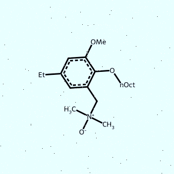 CCCCCCCCOc1c(C[N+](C)(C)[O-])cc(CC)cc1OC